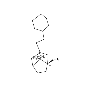 CC1(C)C2CC[C@@]1(C)CN(CCC1CCCCC1)C2